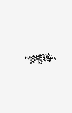 CC(C)(C(N)=O)N1CCN(Cc2cc3nc(-c4cnc(N)c5cc(F)ccc45)nc(N4CCOCC4)c3s2)CC1